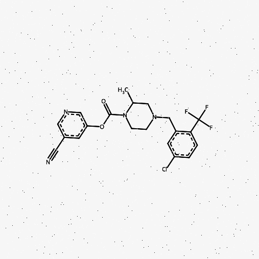 CC1CN(Cc2cc(Cl)ccc2C(F)(F)F)CCN1C(=O)Oc1cncc(C#N)c1